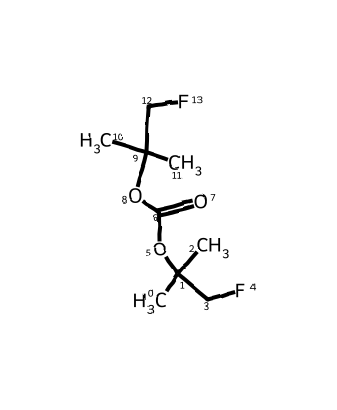 CC(C)(CF)OC(=O)OC(C)(C)CF